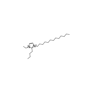 CCCCCCCCCCCCC[n+]1ccn(CC)c1CCCC